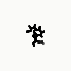 CCC(C)/C(C)=C/C(C)C(C)C(C)C1C(C)CC1C(N)CC